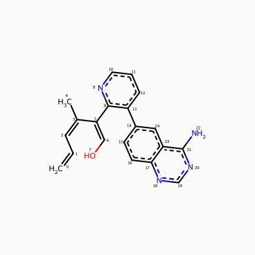 C=C/C=C(C)\C(=C/O)c1ncccc1-c1ccc2ncnc(N)c2c1